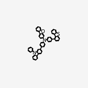 c1ccc(-n2c3ccccc3c3ccc(-c4ccc(N(c5ccc(-c6cccc7sc8ccccc8c67)cc5)c5ccc6c(c5)oc5ccccc56)cc4)cc32)cc1